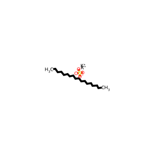 CCCCCCCCCCCCCCCCCC.O=S(=O)([O-])[O-].[K+].[K+]